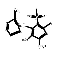 Cc1cc(C(=O)O)c(OCC(C)C)c(C(=O)O)c1S(C)(=O)=O.O=[N+]([O-])c1ccccc1